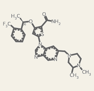 CC1CN(Cc2cc3c(cn2)ncn3-c2cc(O[C@H](C)c3ccccc3C(F)(F)F)c(C(N)=O)s2)CCN1C